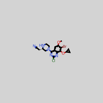 COc1cc2c(N3CCN[C@@H](CC#N)C3)nc(Cl)nc2c(OC2CC2)c1Br